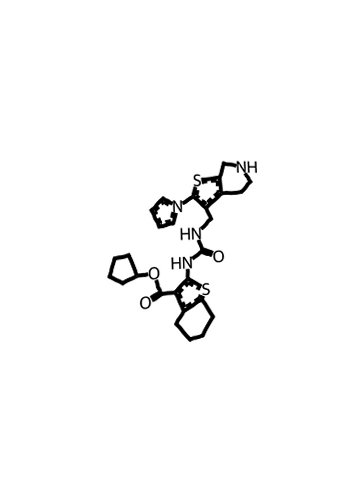 O=C(NCc1c(-n2cccc2)sc2c1CCNC2)Nc1sc2c(c1C(=O)OC1CCCC1)CCCC2